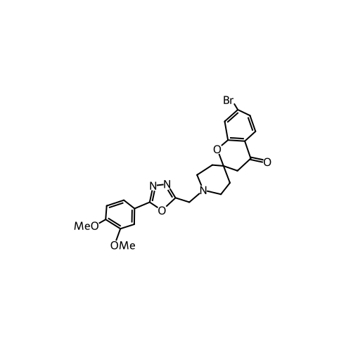 COc1ccc(-c2nnc(CN3CCC4(CC3)CC(=O)c3ccc(Br)cc3O4)o2)cc1OC